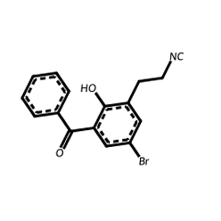 [C-]#[N+]CCc1cc(Br)cc(C(=O)c2ccccc2)c1O